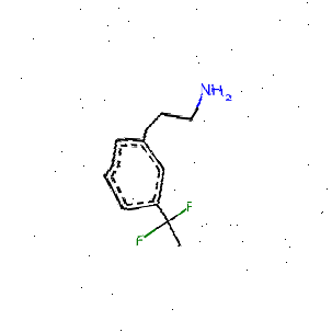 CC(F)(F)c1cccc(CCN)c1